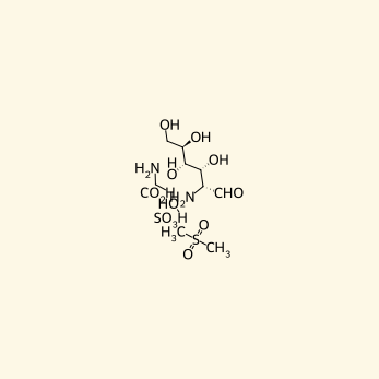 CS(C)(=O)=O.NCC(=O)O.N[C@@H](C=O)[C@@H](O)[C@H](O)[C@H](O)CO.O=S(=O)(O)O